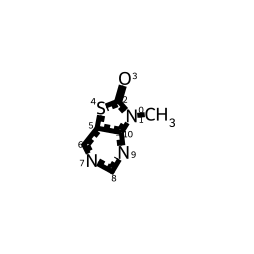 Cn1c(=O)sc2cncnc21